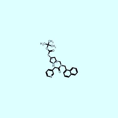 CC(C)(C)OC(=O)S[C@@H]1CN[C@H](CN(Cc2cccc3ccccc23)C(=O)Cc2cccnc2)C1